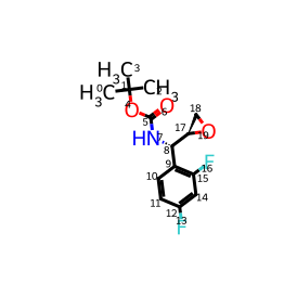 CC(C)(C)OC(=O)N[C@@H](c1ccc(F)cc1F)[C@H]1CO1